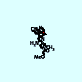 C=Cc1cc(-c2cc(N)c(N3CCN(C(=O)CCOC)[C@H](C)C3)nc2C2CC2)c2cccnc2n1